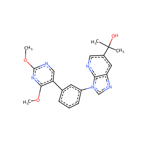 COc1ncc(-c2cccc(-n3cnc4cc(C(C)(C)O)cnc43)c2)c(OC)n1